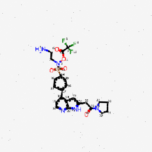 NCCN(OC(=O)C(F)(F)F)S(=O)(=O)c1ccc(-c2ccnc3[nH]c(CC(=O)N4CCCC4)cc23)cc1